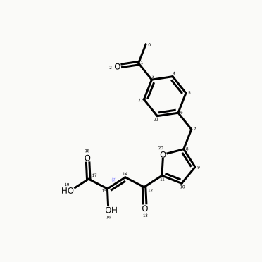 CC(=O)c1ccc(Cc2ccc(C(=O)/C=C(\O)C(=O)O)o2)cc1